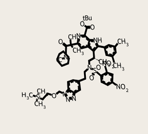 Cc1cc(C)cc(-c2[nH]c3c(C(=O)OC(C)(C)C)nc(C(C)(C)C(=O)N4CC5CCC4CC5)cc3c2[C@H](C)CN(CCc2ccc3c(c2)nnn3COCC[Si](C)(C)C)S(=O)(=O)c2ccc([N+](=O)[O-])cc2[N+](=O)[O-])c1